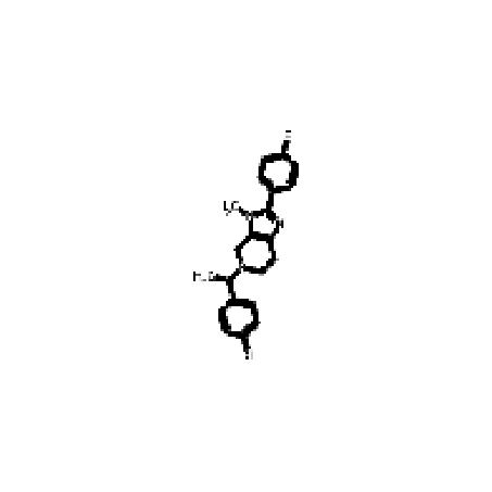 CC(c1ccc(Cl)cc1)N1CCc2nc(-c3ccc(F)cc3)n(C)c2C1